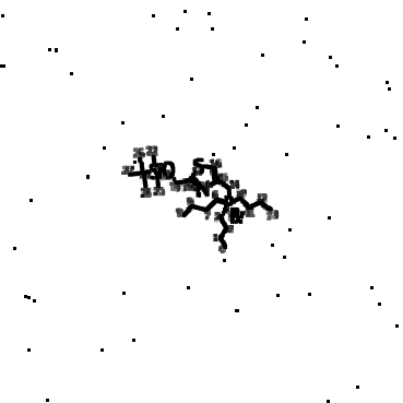 CCCCP(Br)(CCCC)(CCCC)Cc1csc(CO[Si](C)(C)C(C)(C)C)n1